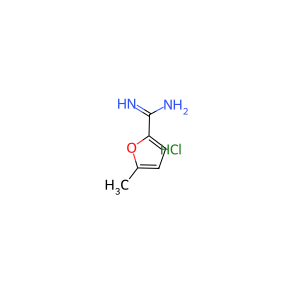 Cc1ccc(C(=N)N)o1.Cl